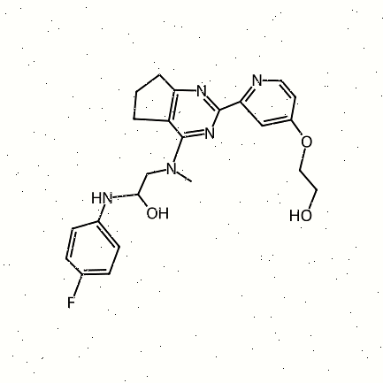 CN(CC(O)Nc1ccc(F)cc1)c1nc(-c2cc(OCCO)ccn2)nc2c1CCC2